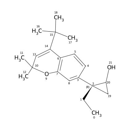 CC[C@]1(c2ccc3c(c2)OC(C)(C)C=C3C(C)(C)C)CC1O